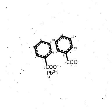 O=C([O-])c1ccccc1.O=C([O-])c1ccccc1.[Pb+2]